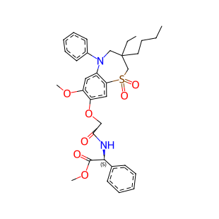 CCCCC1(CC)CN(c2ccccc2)c2cc(OC)c(OCC(=O)N[C@H](C(=O)OC)c3ccccc3)cc2S(=O)(=O)C1